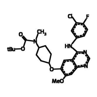 COc1cc2ncnc(Nc3ccc(F)c(Cl)c3)c2cc1OC1CCC(N(C)C(=O)OC(C)(C)C)CC1